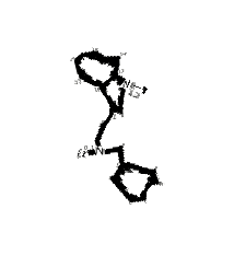 CCN(Cc1ccccc1)Cc1c[nH]c2ccccc12